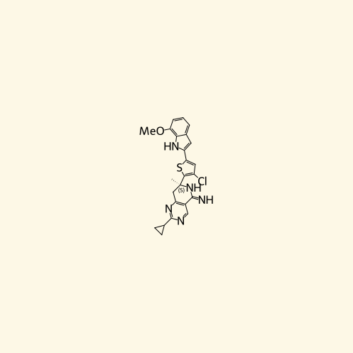 COc1cccc2cc(-c3cc(Cl)c([C@]4(C)Cc5nc(C6CC6)ncc5C(=N)N4)s3)[nH]c12